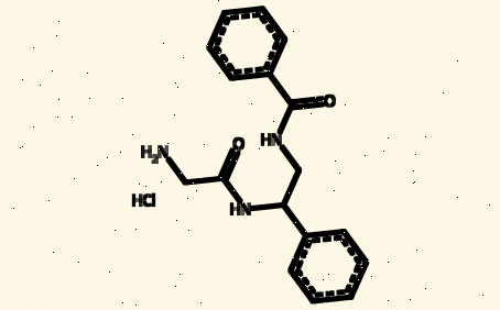 Cl.NCC(=O)NC(CNC(=O)c1ccccc1)c1ccccc1